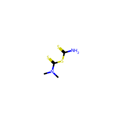 CN(C)C(=S)SC(N)=S